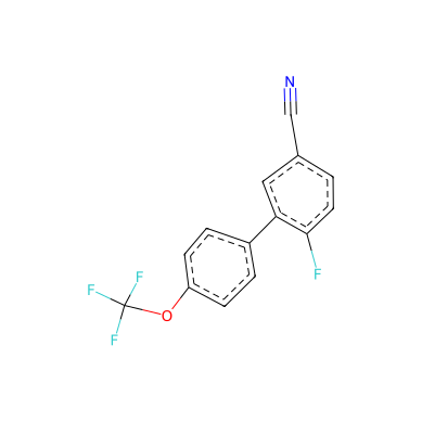 N#Cc1ccc(F)c(-c2ccc(OC(F)(F)F)cc2)c1